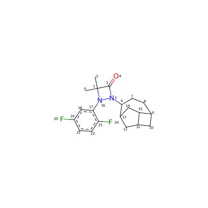 CC1(C)C(=O)N(C2CCC3CC4CC2CC34)N1c1cc(F)ccc1F